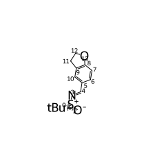 CC(C)(C)[S@@+]([O-])N=Cc1ccc2c(c1)CCO2